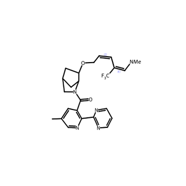 CN/C=C(\C=C/COC1CC2CC1N(C(=O)c1cc(C)cnc1-c1ncccn1)C2)C(F)(F)F